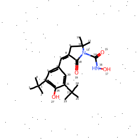 CC(C)(C)c1cc(C=C2CC(C)(C)N(C(=O)NO)C2=O)cc(C(C)(C)C)c1O